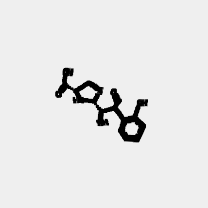 O=CC(c1ccccc1O)C(S)[C@@H]1N[C@H](C(=O)O)CS1